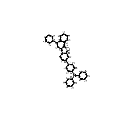 c1ccc(-c2cc3c4ccc(-c5ccc(N(c6ccccc6)c6ccccc6)cc5)cc4oc3c3ccccc23)cc1